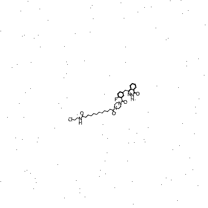 O=C(CCCCCCCCCCC(=O)N1CCN(C(=O)c2cc(Cc3n[nH]c(=O)c4ccccc34)ccc2F)CC1)NCCCl